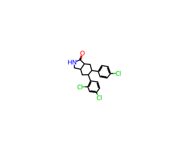 O=C1NCC2CC(c3ccc(Cl)cc3Cl)C(c3ccc(Cl)cc3)CC12